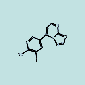 N#Cc1ncc(-c2ccnc3ncnn23)cc1F